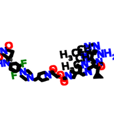 Cc1nc(-c2c(-c3nn(C(C)(C)C)c4ncnc(N)c34)noc2C2CC2)ncc1C1CN(C(=O)OCC(=O)N2CCC(CN3CCN(c4c(F)cc(N[C@H]5CCC(=O)NC5=O)cc4F)CC3)CC2)C1